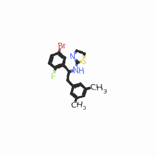 Cc1cc(C)cc(CC(NC2=NCCS2)c2cc(Br)ccc2F)c1